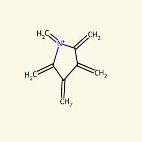 C=C1C(=C)C(=C)[N+](=C)C1=C